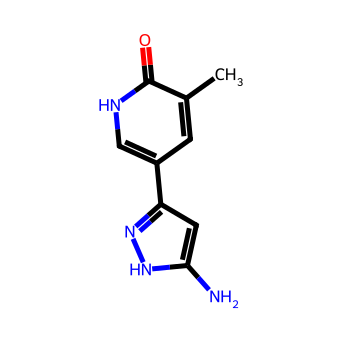 Cc1cc(-c2cc(N)[nH]n2)c[nH]c1=O